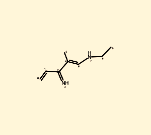 C=CC(=N)/C(C)=C/NCC